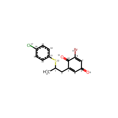 CC(CC1=CC(=O)C=C(Br)C1=O)Sc1ccc(Cl)cc1